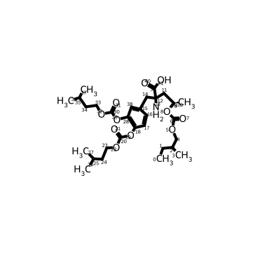 CCC(C)COC(=O)O[C@@H](C)CC(N)(Cc1ccc(OC(=O)OCCC(C)C)c(OC(=O)OCCC(C)C)c1)C(=O)O